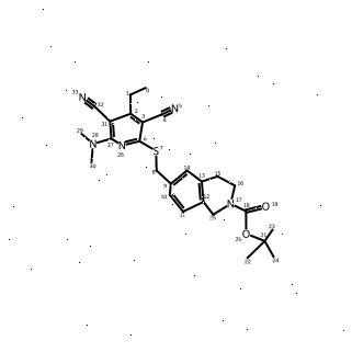 CCc1c(C#N)c(SCc2ccc3c(c2)CCN(C(=O)OC(C)(C)C)C3)nc(N(C)C)c1C#N